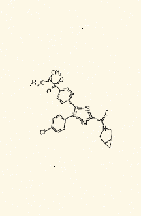 CN(C)S(=O)(=O)c1ccc(-c2sc(C(=O)N3CC4CC4C3)nc2-c2ccc(Cl)cc2)cc1